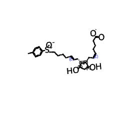 COC(=O)CCC/C=C\C[C@@H]1[C@@H](C/C=C/CCCCC[S+]([O-])c2ccc(C)cc2)[C@H](O)C[C@H]1O